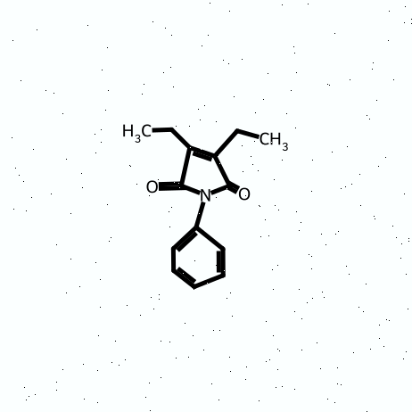 CCC1=C(CC)C(=O)N(c2ccccc2)C1=O